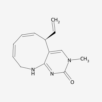 C=C[C@@H]1/C=C\C=C/CNc2nc(=O)n(C)cc21